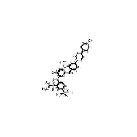 COc1cc(N2CCC(N3CCN(C)CC3)CC2)ccc1Nc1ncc(Cl)c(Nc2ccc(P(C)(C)=O)cc2S(=O)(=O)C(C)C)n1